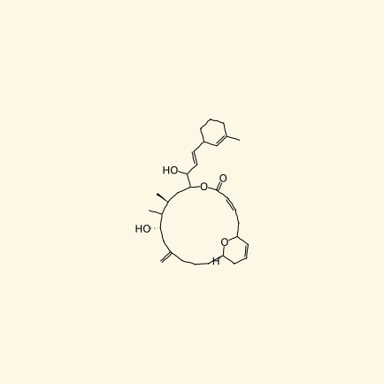 C=C1CCC[C@@H]2CC=CC(C/C=C\C(=O)OC(C(O)/C=C/C3C=C(C)CCC3)C[C@H](C)C(C)[C@@H](O)C1)O2